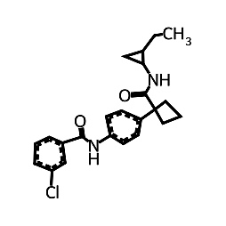 CCC1CC1NC(=O)C1(c2ccc(NC(=O)c3cccc(Cl)c3)cc2)CCC1